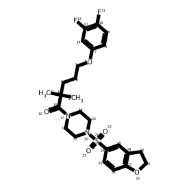 CC(C)(CCCOc1ccc(F)c(F)c1)C(=O)N1CCN(S(=O)(=O)c2ccc3c(c2)CCO3)CC1